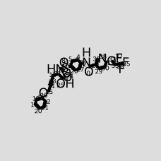 O=C(Nc1ccc(S(=O)(=O)NC(CC#CCOc2ccccc2)C(=O)O)cc1)c1ccc(OCC(F)(F)F)nc1